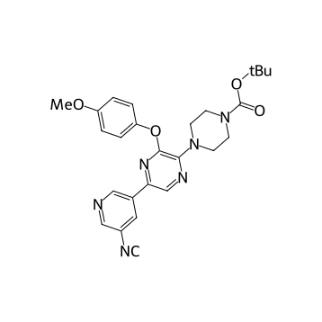 [C-]#[N+]c1cncc(-c2cnc(N3CCN(C(=O)OC(C)(C)C)CC3)c(Oc3ccc(OC)cc3)n2)c1